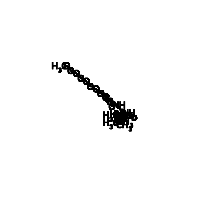 COCCOCCOCCOCCOCCOCCOCCOCCOCCOCC(=O)NCCCC[C@H](NC(=O)OCc1ccccc1)C(=O)N[C@@H](C)C(=O)OC(C)(C)C